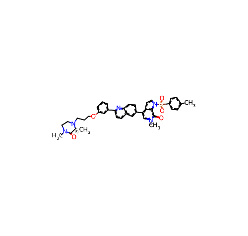 Cc1ccc(S(=O)(=O)n2ccc3c(-c4ccc5nc(-c6cccc(OCCCN7CCN(C)C(=O)[C@H]7C)c6)ccc5c4)cn(C)c(=O)c32)cc1